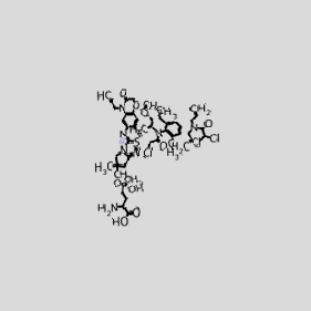 C#CCN1C(=O)COc2cc(F)c(/N=c3\snc4n3CC(C)(C)C4)cc21.C=CCN(CC=C)C(=O)C(Cl)Cl.CCc1cccc(C)c1N(C(=O)CCl)C(C)COC.CP(=O)(O)CCC(N)C(=O)O